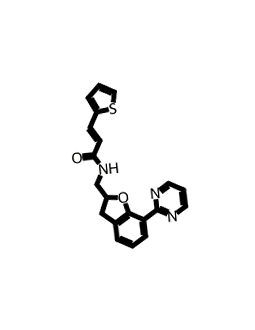 O=C(C=Cc1cccs1)NCC1Cc2cccc(-c3ncccn3)c2O1